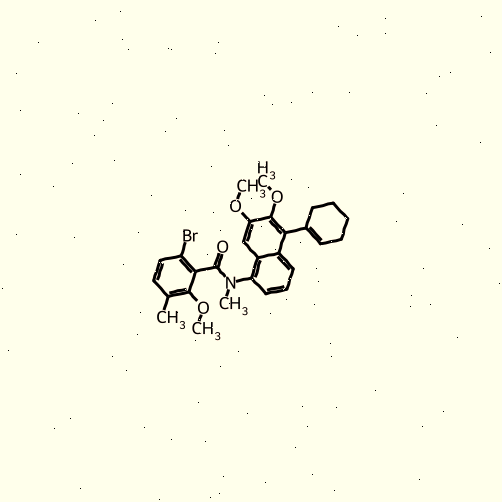 COc1cc2c(N(C)C(=O)c3c(Br)ccc(C)c3OC)cccc2c(C2=CCCCC2)c1OC